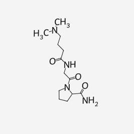 CN(C)CCCC(=O)NCC(=O)N1CCCC1C(N)=O